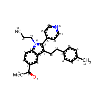 COC(=O)c1ccc2c(c1)c(CCc1ccc(C)cc1)c(-c1ccncc1)n2CCC#N